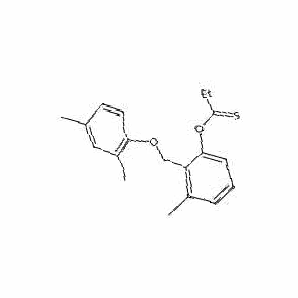 CCC(=S)Oc1cccc(C)c1COc1ccc(C)cc1C